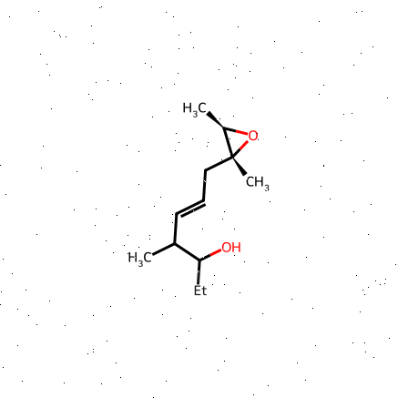 CCC(O)C(C)C=CC[C@@]1(C)O[C@@H]1C